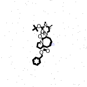 C[C@@H](CN[C@H]1C/C=C\C[C@@]2(C(=O)OCc3ccccc3)CCCN2C1=O)N(C)C(=O)OC(C)(C)C